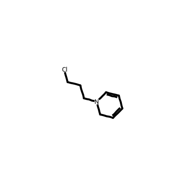 ClCCCN1C=CC=CC1